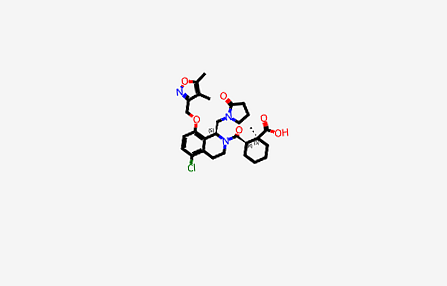 Cc1onc(COc2ccc(Cl)c3c2[C@@H](CN2CCCC2=O)N(C(=O)[C@@H]2CCCC[C@]2(C)C(=O)O)CC3)c1C